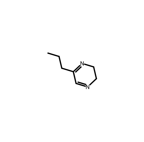 CCCC1=NCCN=C1